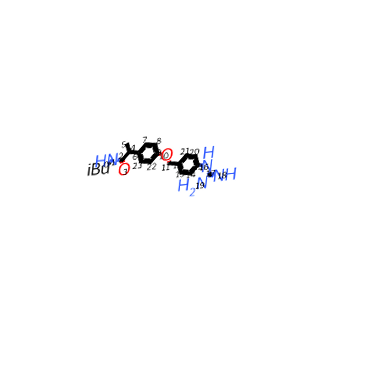 CCC(C)NC(=O)C(C)c1ccc(OCc2ccc(NC(=N)N)cc2)cc1